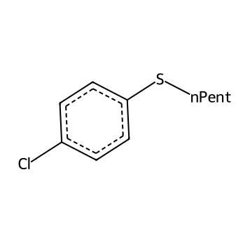 CCCCCSc1ccc(Cl)cc1